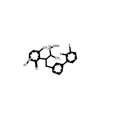 CCn1ccc(C)c(C(Cc2cccc(-c3cccc(F)c3F)c2)C(C)NSC)c1=O